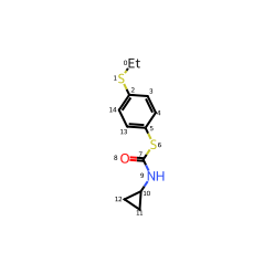 CCSc1ccc(SC(=O)NC2CC2)cc1